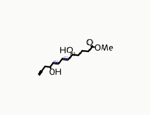 C#CCC(O)/C=C/C=C/[C@@H](O)CCCC(=O)OC